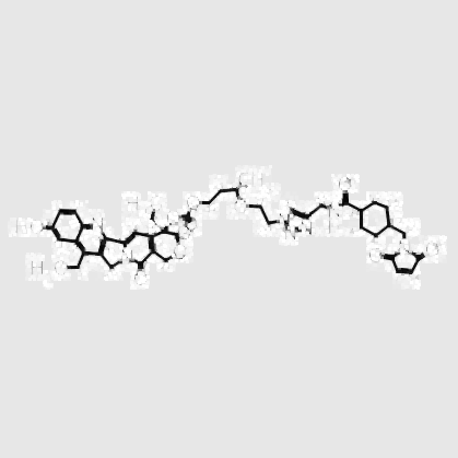 CCc1c2c(nc3ccc(O)cc13)-c1cc3c(c(=O)n1C2)COC(=O)[C@@]3(CC)OC(=O)OCCC(C)OCCn1cc(CNC(=O)C2CCC(CN3C(=O)C=CC3=O)CC2)nn1